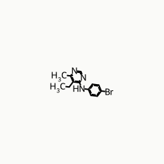 CCc1c(C)ncnc1Nc1ccc(Br)cc1